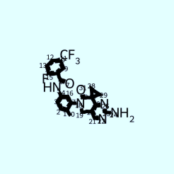 Cc1ccc(NC(=O)c2cc(C(F)(F)F)ccc2F)cc1N1Cc2cnc(N)nc2C2(CC2)C1=O